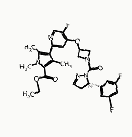 CCOC(=O)c1c(C)c(-c2cc(OC3CN(C(=O)N4N=CC[C@H]4c4cc(F)cc(F)c4)C3)c(F)cn2)c(C)n1C